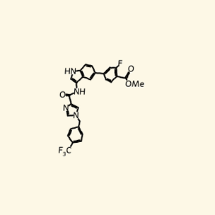 COC(=O)c1ccc(-c2ccc3[nH]cc(NC(=O)c4cn(Cc5ccc(C(F)(F)F)cc5)cn4)c3c2)cc1F